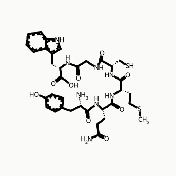 CSCC[C@H](NC(=O)[C@H](CCC(N)=O)NC(=O)[C@@H](N)Cc1ccc(O)cc1)C(=O)N[C@@H](CS)C(=O)NCC(=O)N[C@@H](Cc1c[nH]c2ccccc12)C(=O)O